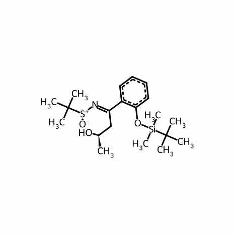 C[C@@H](O)C/C(=N\[S@+]([O-])C(C)(C)C)c1ccccc1O[Si](C)(C)C(C)(C)C